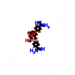 N=C(N)c1ccc(OCCCOc2ccc(C(=N)N)cc2)cc1.O=S(=O)(O)CCO